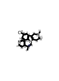 C/C(=C/n1c2c(c3cc(Cl)ccc31)CN(C)[C@H](C)C2)c1ccncc1